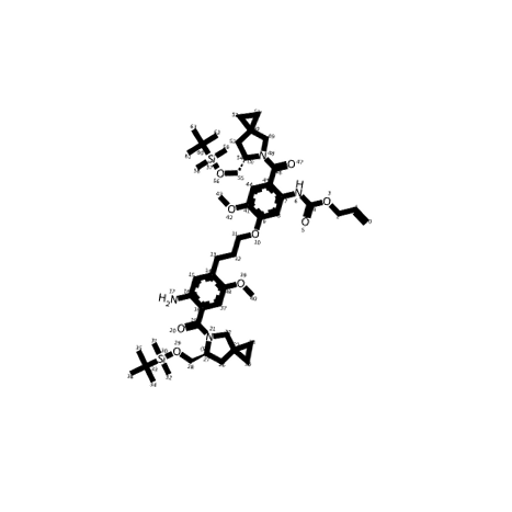 C=CCOC(=O)Nc1cc(OCCCc2cc(N)c(C(=O)N3CC4(CC4)C[C@H]3CO[Si](C)(C)C(C)(C)C)cc2OC)c(OC)cc1C(=O)N1CC2(CC2)C[C@H]1CO[Si](C)(C)C(C)(C)C